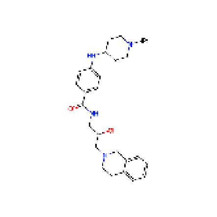 CC(C)N1CCC(Nc2ccc(C(=O)NCC(O)CN3CCc4ccccc4C3)cc2)CC1